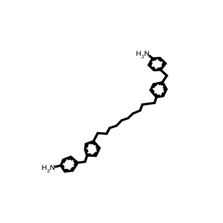 Nc1ccc(Cc2ccc(CCCCCCCCCCc3ccc(Cc4ccc(N)cc4)cc3)cc2)cc1